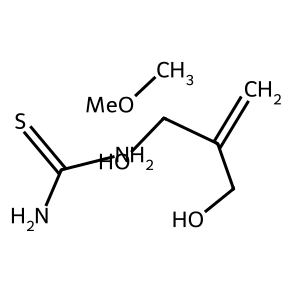 C=C(CO)CO.COC.NC(N)=S